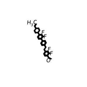 C/C=C/C1CCC(c2ccc(-c3ccc(CCc4ccc(C5CO5)c(F)c4F)cc3)c(F)c2F)CC1